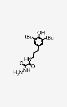 CC(C)(C)c1cc(CCCNC(=O)C(=O)NN)cc(C(C)(C)C)c1O